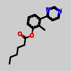 CCCCCC(=O)Oc1cccc(-c2ccncn2)c1C